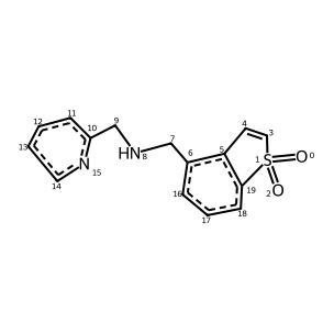 O=S1(=O)C=Cc2c(CNCc3ccccn3)cccc21